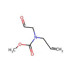 C=CCN(CC=O)C(=O)OC